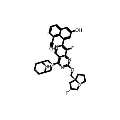 C#Cc1cccc2cc(O)cc(-c3ncc4c(N5CC6CCCC(C5)N6)nc(OC[C@@]56CCCN5C[C@H](F)C6)nc4c3F)c12